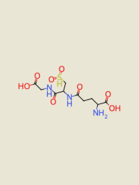 NC(CCC(=O)NC(C[SH](=O)=O)C(=O)NCC(=O)O)C(=O)O